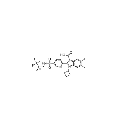 Cc1cc2c(cc1F)c(C(=O)O)c(-c1ccc(S(=O)(=O)NC[C@@H](C)C(F)(F)F)cn1)n2C1CCC1